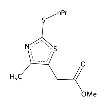 CCCSc1nc(C)c(CC(=O)OC)s1